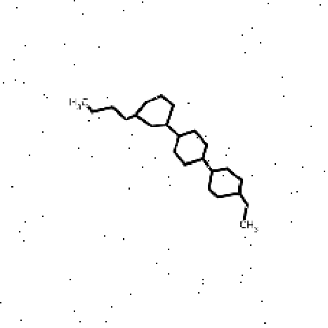 CCCCC1CCCC(C2CCC(C3CCC(CC)CC3)CC2)C1